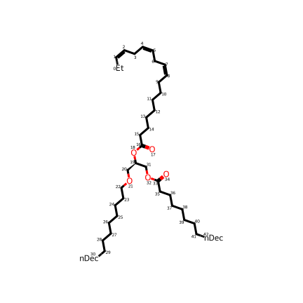 CC/C=C\C/C=C\C/C=C\CCCCCCCC(=O)O[C@H](COCCCCCCCCCCCCCCCCCC)COC(=O)CCCCCCCCCCCCCCCCC